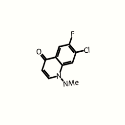 CNn1ccc(=O)c2cc(F)c(Cl)cc21